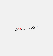 N#Cc1ccc(-c2ccc(CCCCCCCC(=O)OCc3ccccc3)cc2)cc1